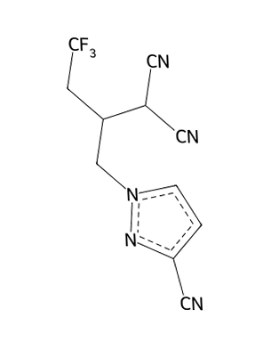 N#Cc1ccn(CC(CC(F)(F)F)C(C#N)C#N)n1